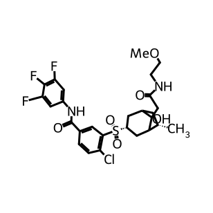 COCCNC(=O)C[C@@]1(O)C2C[C@@H](S(=O)(=O)c3cc(C(=O)Nc4cc(F)c(F)c(F)c4)ccc3Cl)CC1[C@@H](C)C2